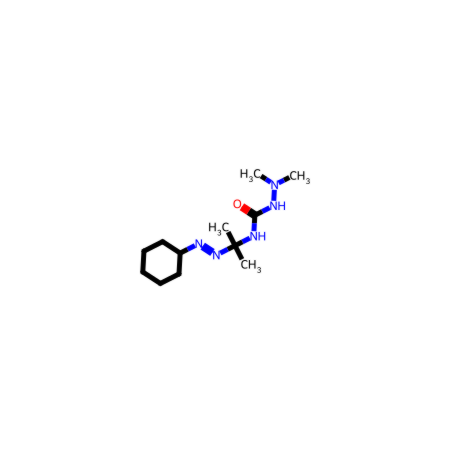 CN(C)NC(=O)NC(C)(C)/N=N/C1CCCCC1